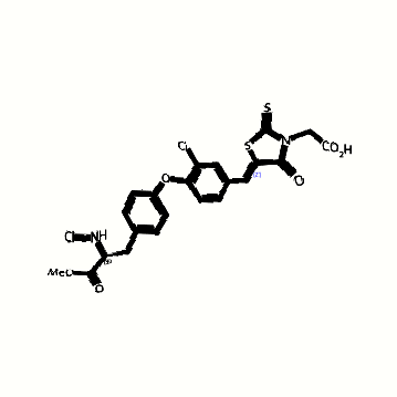 COC(=O)[C@H](Cc1ccc(Oc2ccc(/C=C3\SC(=S)N(CC(=O)O)C3=O)cc2Cl)cc1)NCl